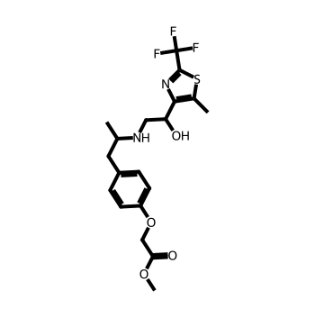 COC(=O)COc1ccc(CC(C)NCC(O)c2nc(C(F)(F)F)sc2C)cc1